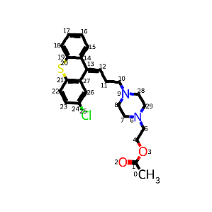 CC(=O)OCCN1CCN(CC/C=C2/c3ccccc3Sc3ccc(Cl)cc32)CC1